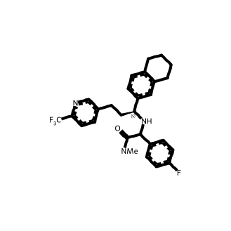 CNC(=O)C(N[C@@H](CCc1ccc(C(F)(F)F)nc1)c1ccc2c(c1)CCCC2)c1ccc(F)cc1